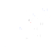 CC(C)(C)c1cc(-c2ccc(Cl)cc2)nc2cc(C(=O)N3CCNC(=O)CC3(C)C)oc12